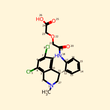 CN1Cc2c(Cl)cc(Cl)cc2[C@H](c2ccccc2NC(=O)COCC(=O)O)C1